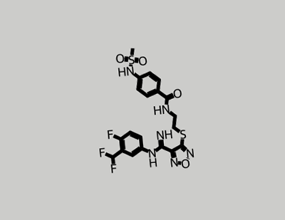 CS(=O)(=O)Nc1ccc(C(=O)NCCSc2nonc2C(=N)Nc2ccc(F)c(C(F)F)c2)cc1